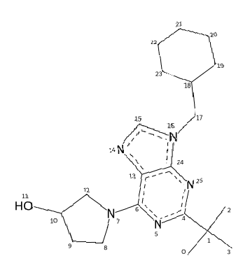 CC(C)(C)c1nc(N2CCC(O)C2)c2ncn(CC3CCCCC3)c2n1